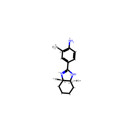 Nc1ccc(C2=N[C@H]3CCCC[C@@H]3N2)cc1[N+](=O)[O-]